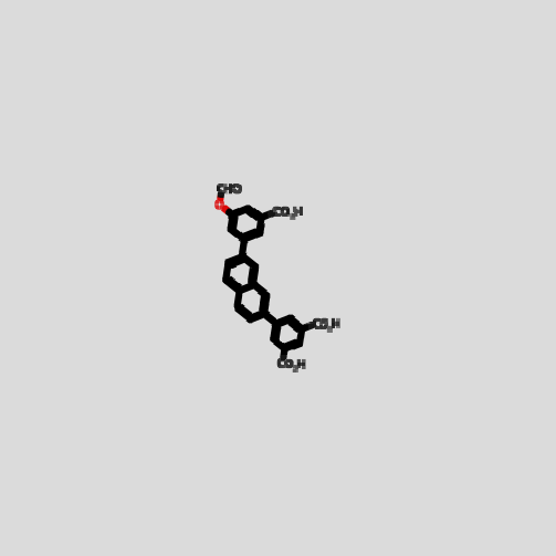 O=COc1cc(C(=O)O)cc(-c2ccc3ccc(-c4cc(C(=O)O)cc(C(=O)O)c4)cc3c2)c1